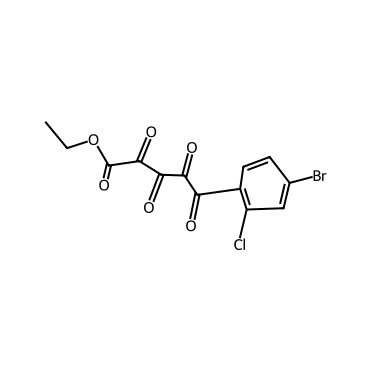 CCOC(=O)C(=O)C(=O)C(=O)C(=O)c1ccc(Br)cc1Cl